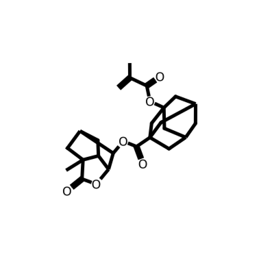 C=C(C)C(=O)OC12CC3CC(C1)CC(C(=O)OC1C4CC5C1OC(=O)C5(C)C4)(C3)C2